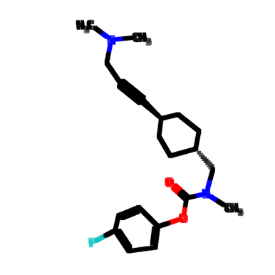 CN(C)CC#C[C@H]1CC[C@H](CN(C)C(=O)Oc2ccc(F)cc2)CC1